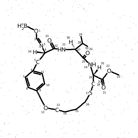 BOC=N[C@H]1Cc2ccc(cc2)OCCCCSC[C@@H](C(=O)OC)NC(=O)[C@H](C(C)C)NC1=O